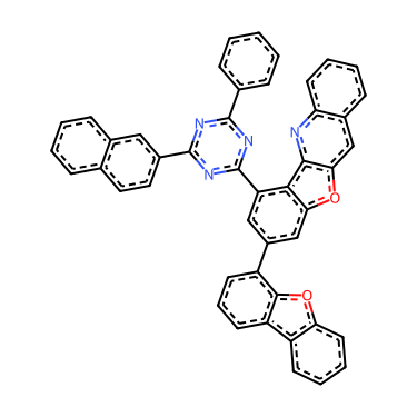 c1ccc(-c2nc(-c3ccc4ccccc4c3)nc(-c3cc(-c4cccc5c4oc4ccccc45)cc4oc5cc6ccccc6nc5c34)n2)cc1